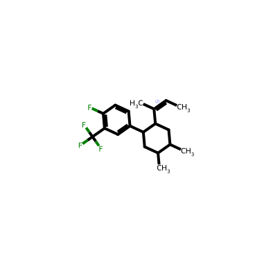 C/C=C(/C)C1CC(C)C(C)CC1c1ccc(F)c(C(F)(F)F)c1